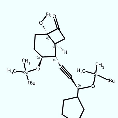 CCO[C@@]12CC[C@H](O[Si](C)(C)C(C)(C)C)[C@@H](C#C[C@@H](O[Si](C)(C)C(C)(C)C)C3CCCCC3)[C@@H]1CC2=O